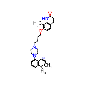 C/C=C\c1c(C)cccc1N1CCN(CCCCOc2ccc3ccc(=O)[nH]c3c2C)CC1